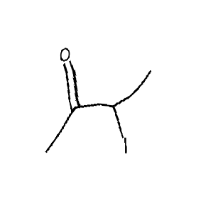 CC(=O)C(C)I